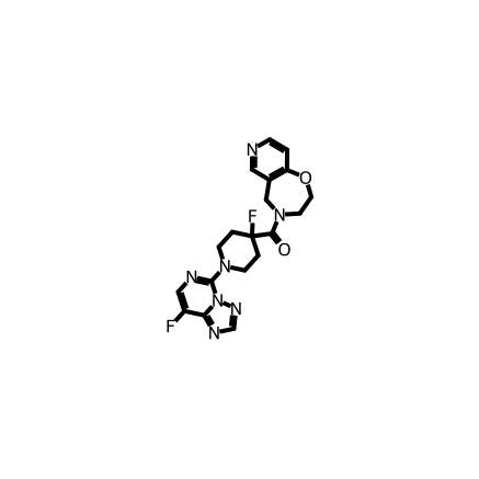 O=C(N1CCOc2ccncc2C1)C1(F)CCN(c2ncc(F)c3ncnn23)CC1